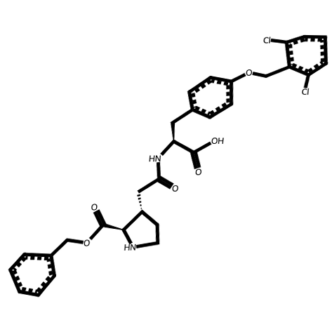 O=C(C[C@@H]1CCN[C@H]1C(=O)OCc1ccccc1)N[C@@H](Cc1ccc(OCc2c(Cl)cccc2Cl)cc1)C(=O)O